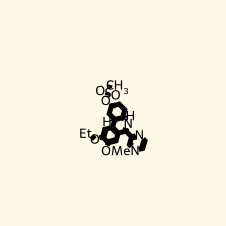 CCOc1cc2c(cc1OC)C(c1cnccn1)=N[C@@H]1CC[C@@H](OS(C)(=O)=O)C[C@H]21